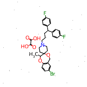 CC1Oc2ccc(Br)cc2COC12CCN(CCCC(c1ccc(F)cc1)c1ccc(F)cc1)CC2.O=C(O)C(=O)O